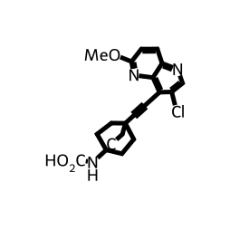 COc1ccc2ncc(Cl)c(C#CC34CCC(NC(=O)O)(CC3)CC4)c2n1